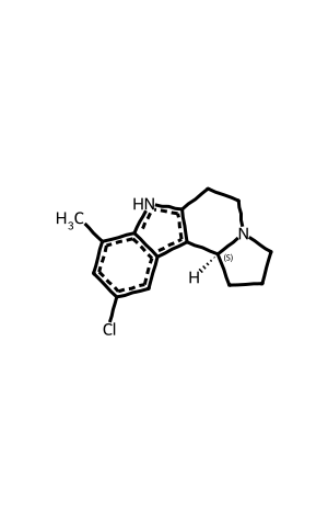 Cc1cc(Cl)cc2c3c([nH]c12)CCN1CCC[C@@H]31